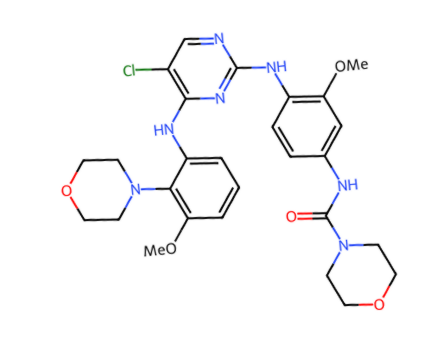 COc1cc(NC(=O)N2CCOCC2)ccc1Nc1ncc(Cl)c(Nc2cccc(OC)c2N2CCOCC2)n1